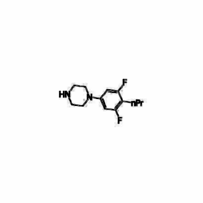 CCCc1c(F)cc(N2CCNCC2)cc1F